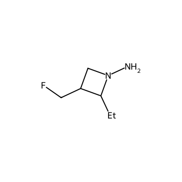 CCC1C(CF)CN1N